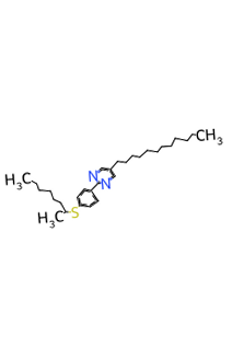 CCCCCCCCCCCCc1cnc(-c2ccc(SC(C)CCCCCC)cc2)nc1